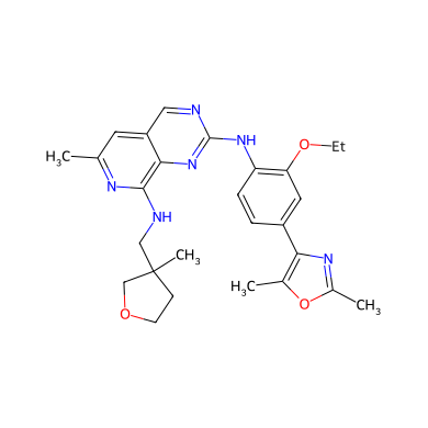 CCOc1cc(-c2nc(C)oc2C)ccc1Nc1ncc2cc(C)nc(NCC3(C)CCOC3)c2n1